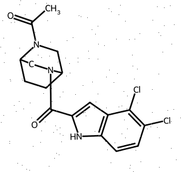 CC(=O)N1CC2CCC1CN2C(=O)c1cc2c(Cl)c(Cl)ccc2[nH]1